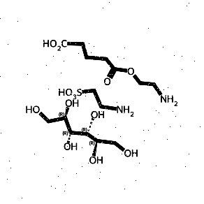 NCCOC(=O)CCCC(=O)O.NCCS(=O)(=O)O.OC[C@@H](O)[C@@H](O)[C@H](O)[C@H](O)CO